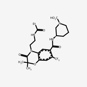 CCC(=O)NCCN1C(=O)C(C)(C)Oc2cc(C(F)(F)F)c(C(=O)N[C@@H]3CCCN(C(=O)O)C3)cc21